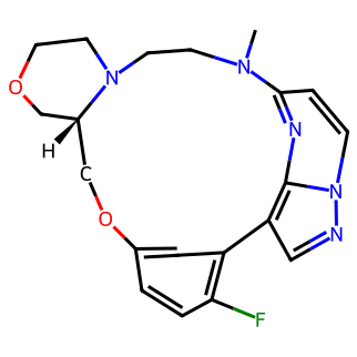 CN1CCN2CCOC[C@H]2COc2ccc(F)c(c2)-c2cnn3ccc1nc23